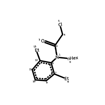 CCCCCCN(C(=O)CCl)c1c(CC)cccc1CC